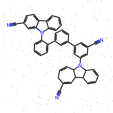 N#CC1=CC2C3C=CC=CC3N(c3cc(C#N)cc(-c4cccc(-c5ccccc5-n5c6ccccc6c6ccc(C#N)cc65)c4)c3)C2C=CC1